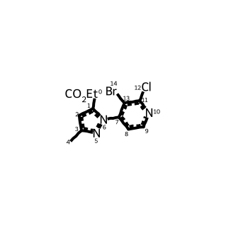 CCOC(=O)c1cc(C)nn1-c1ccnc(Cl)c1Br